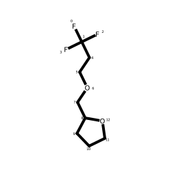 FC(F)(F)CCOCC1CCCO1